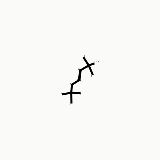 CC(C)(C)CCCC(C)(C)I